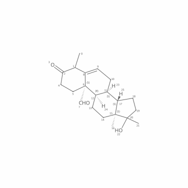 CC1C(=O)CC[C@@]2(C=O)C1=CC[C@@H]1[C@H]2CC[C@@]2(C)[C@H]1CCC2(C)O